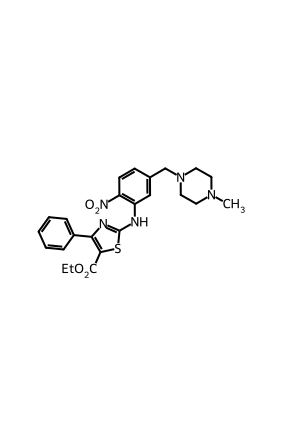 CCOC(=O)c1sc(Nc2cc(CN3CCN(C)CC3)ccc2[N+](=O)[O-])nc1-c1ccccc1